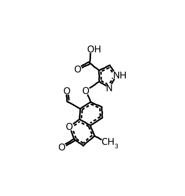 Cc1cc(=O)oc2c(C=O)c(Oc3n[nH]cc3C(=O)O)ccc12